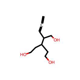 C=C=CC(CO)C(CCO)CCO